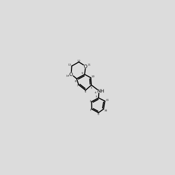 c1ccc(Nc2ccc3c(c2)OCCO3)cc1